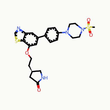 CS(=O)(=O)N1CCN(c2ccc(-c3cc(OCC[C@H]4CNC(=O)C4)c4scnc4c3)cc2)CC1